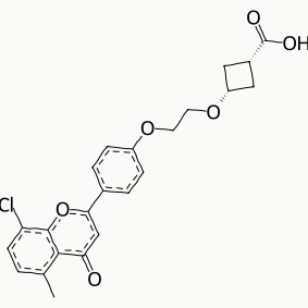 Cc1ccc(Cl)c2oc(-c3ccc(OCCO[C@H]4C[C@@H](C(=O)O)C4)cc3)cc(=O)c12